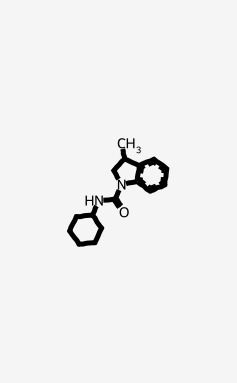 CC1CN(C(=O)NC2CCCCC2)c2ccccc21